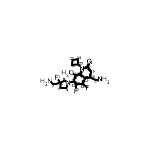 Cc1c(N2CCC(F)(CN)C2)c(F)c(F)c2c(CN)cc(=O)n(C3CCC3)c12